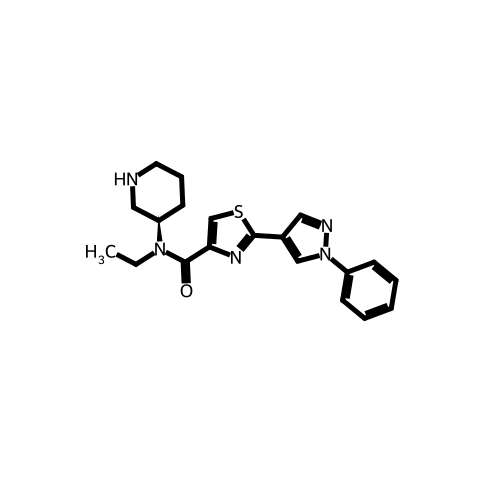 CCN(C(=O)c1csc(-c2cnn(-c3ccccc3)c2)n1)[C@@H]1CCCNC1